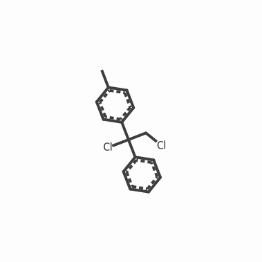 Cc1ccc(C(Cl)(CCl)c2ccccc2)cc1